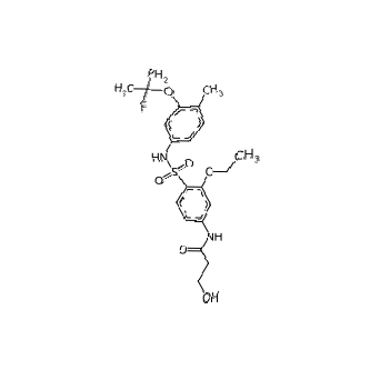 CCOc1cc(NC(=O)CCO)ccc1S(=O)(=O)Nc1ccc(C)c(OC(C)(F)P)c1